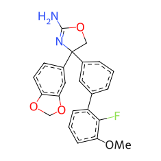 COc1cccc(-c2cccc(C3(c4ccc5c(c4)OCO5)COC(N)=N3)c2)c1F